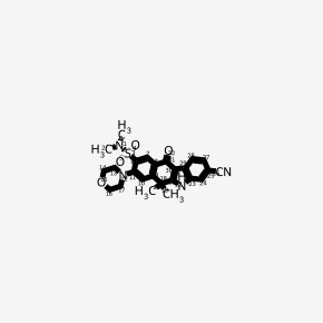 CN(C)S(=O)(=O)c1cc2c(cc1N1CCOCC1)C(C)(C)c1[nH]c3cc(C#N)ccc3c1C2=O